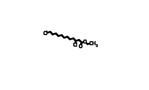 CCOC(=O)CC(Cl)CCCCCCCCCCl